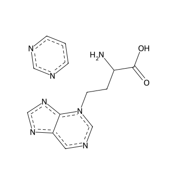 NC(CCn1cncc2ncnc1-2)C(=O)O.c1cncnc1